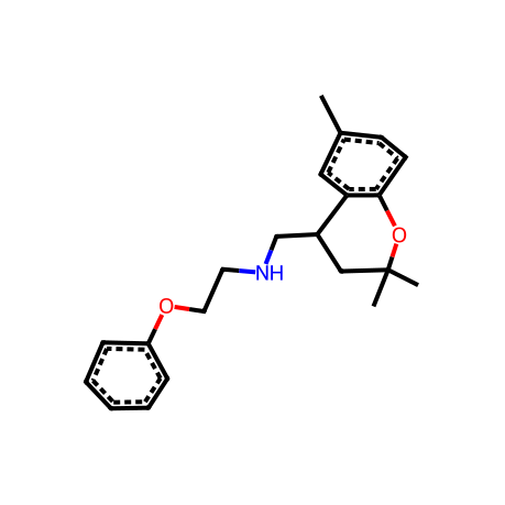 Cc1ccc2c(c1)C(CNCCOc1ccccc1)CC(C)(C)O2